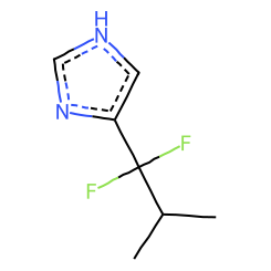 CC(C)C(F)(F)c1c[nH]cn1